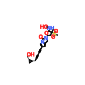 CC(CCN1Cc2cc(C#CC#CC[C@@H]3C[C@@H]3CO)cn2C1=O)(C(=O)NO)S(C)(=O)=O